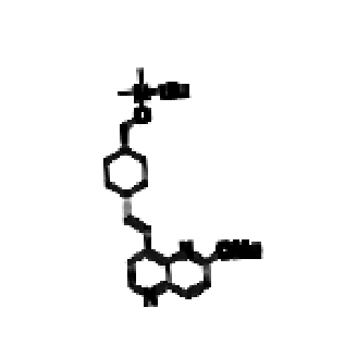 COc1ccc2nccc(C=C[C@H]3CC[C@H](CO[Si](C)(C)C(C)(C)C)CC3)c2n1